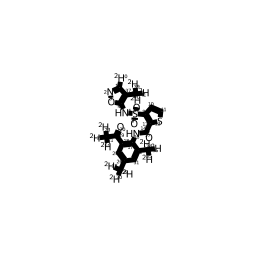 [2H]c1noc(NS(=O)(=O)c2ccsc2C(=O)Nc2c(C(=O)C([2H])([2H])[2H])cc(C([2H])([2H])[2H])cc2C([2H])([2H])[2H])c1C([2H])([2H])[2H]